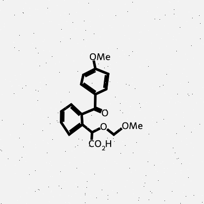 COCOC(C(=O)O)c1ccccc1C(=O)c1ccc(OC)cc1